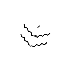 CCCCC[CH2][Al+][CH2]CCCCC.CCCCC[CH2][Al+][CH2]CCCCC.[O-2]